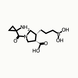 NC1(C(=O)N2C[C@H](CCCB(O)O)[C@H](C(=O)O)C2)CC1